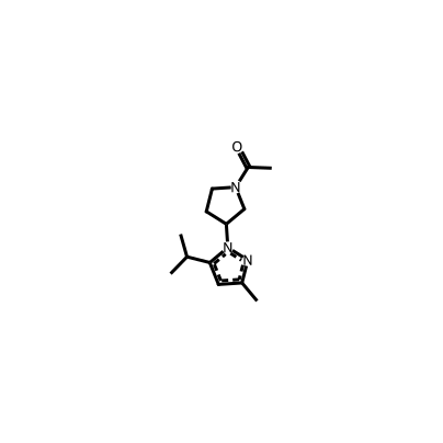 CC(=O)N1CCC(n2nc(C)cc2C(C)C)C1